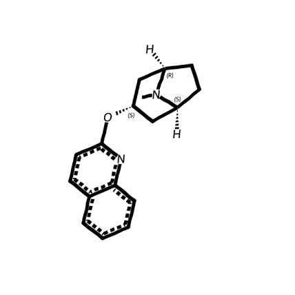 CN1[C@@H]2CC[C@H]1C[C@H](Oc1ccc3ccccc3n1)C2